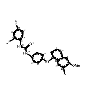 COc1cc2nccc(Oc3ccc(NC(=O)Nc4ccc(F)cc4F)cc3)c2cc1C